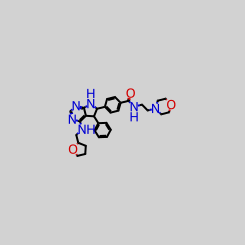 O=C(NCCN1CCOCC1)c1ccc(C2Nc3ncnc(NCC4CCCO4)c3C2c2ccccc2)cc1